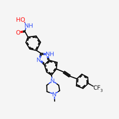 CN1CCN(c2cc3nc(-c4ccc(C(=O)NO)cc4)[nH]c3cc2C#Cc2ccc(C(F)(F)F)cc2)CC1